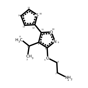 CC(C)c1c(OCCN)noc1-c1cccs1